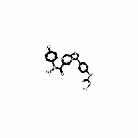 COC(=O)Nc1ccc(-c2cnc3cnc(C(=O)N(C)c4ccc(Cl)cc4)cn23)cc1